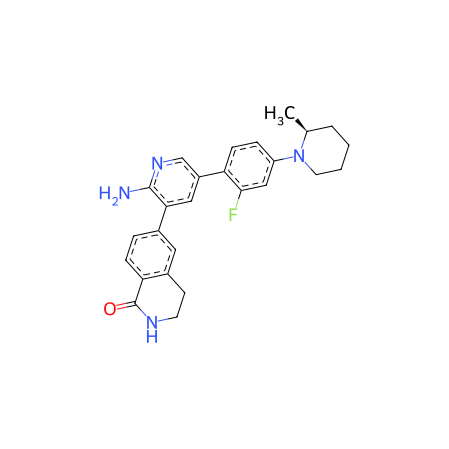 C[C@H]1CCCCN1c1ccc(-c2cnc(N)c(-c3ccc4c(c3)CCNC4=O)c2)c(F)c1